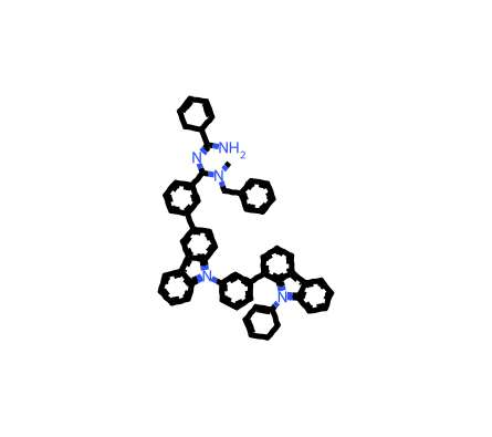 CN(Cc1ccccc1)C(/N=C(\N)C1C=CC=CC1)c1cccc(-c2ccc3c(c2)c2ccccc2n3-c2cccc(-c3cccc4c5ccccc5n(C5=CC=CCC5)c34)c2)c1